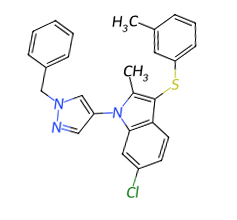 Cc1cccc(Sc2c(C)n(-c3cnn(Cc4ccccc4)c3)c3cc(Cl)ccc23)c1